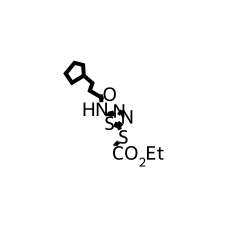 CCOC(=O)CSc1nnc(NC(=O)CCC2CCCC2)s1